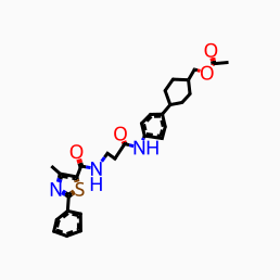 CC(=O)OCC1CCC(c2ccc(NC(=O)CCNC(=O)c3sc(-c4ccccc4)nc3C)cc2)CC1